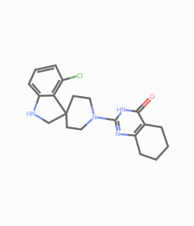 O=c1[nH]c(N2CCC3(CC2)CNc2cccc(Cl)c23)nc2c1CCCC2